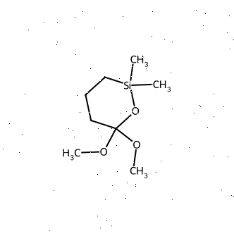 COC1(OC)CCC[Si](C)(C)O1